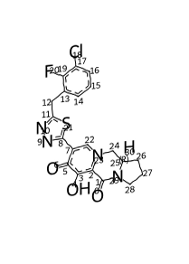 O=C1c2c(O)c(=O)c(-c3nnc(Cc4cccc(Cl)c4F)s3)cn2C[C@H]2CCCN12